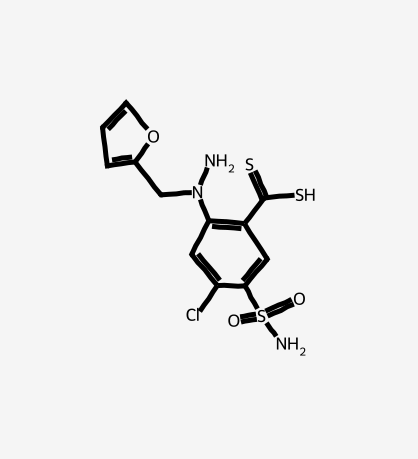 NN(Cc1ccco1)c1cc(Cl)c(S(N)(=O)=O)cc1C(=S)S